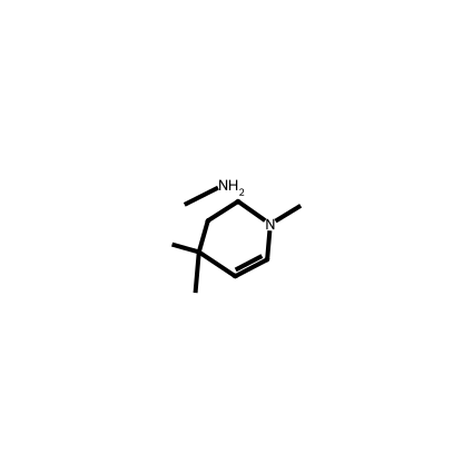 CN.CN1C=CC(C)(C)CC1